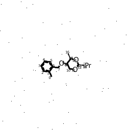 Cc1ccccc1CO[C@@H]1CO[C@H](C(C)C)O[C@@H]1C